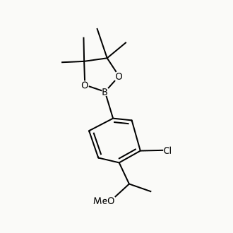 COC(C)c1ccc(B2OC(C)(C)C(C)(C)O2)cc1Cl